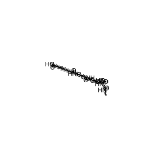 CCCNC(=O)CC[C@H](NC(=O)COCCOCCNC(=O)COCCOCCNC(=O)CCCCCCCCCCCCC(=O)O)C(=O)O